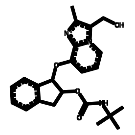 Cc1nc2c(OC3c4ccccc4CC3OC(=O)NC(C)(C)C)cccn2c1CO